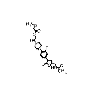 COCC(=O)OCC(=O)N1CCN(c2ccc(C3C[C@H](CNC(C)=O)OC3=O)cc2F)CC1